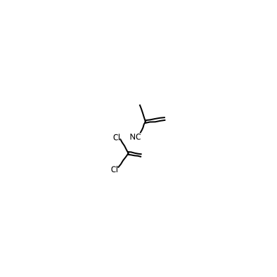 C=C(C)C#N.C=C(Cl)Cl